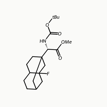 COC(=O)[C@@H](NC(=O)OC(C)(C)C)C12CCC3CCC(CC3(F)C1)C2